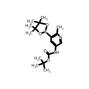 Cc1ncc(NC(=O)OC(C)(C)C)cc1B1OC(C)(C)C(C)(C)O1